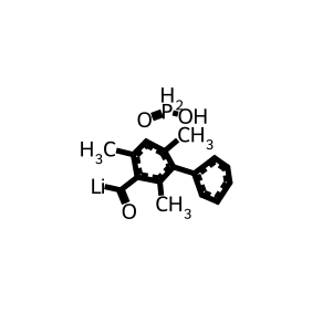 O=[PH2]O.[Li][C](=O)c1c(C)cc(C)c(-c2ccccc2)c1C